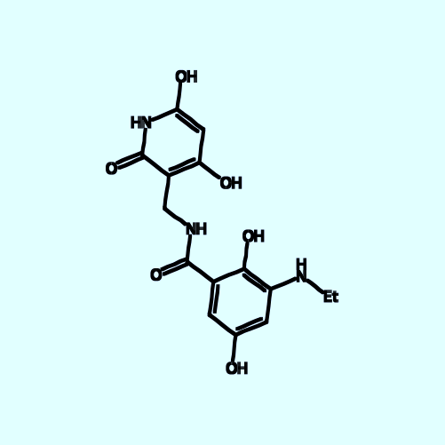 CCNc1cc(O)cc(C(=O)NCc2c(O)cc(O)[nH]c2=O)c1O